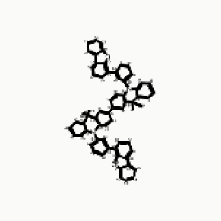 CC1(C)c2ccccc2N(c2cccc(-c3cccc4c3oc3ccccc34)c2)c2ccc(-c3ccc4c(c3)C(C)(C)c3ccccc3N4c3cccc(-c4cccc5c4oc4ccccc45)c3)cc21